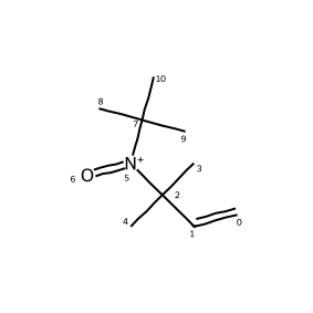 C=CC(C)(C)[N+](=O)C(C)(C)C